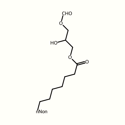 CCCCCCCCCCCCCCCC(=O)OCC(O)COC=O